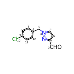 O=Cc1ccn(Cc2ccc(Cl)cc2)n1